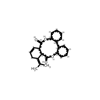 CC(C)=C1CC=Cc2c1c(=O)oc1ccccc1c1ccccc1oc2=O